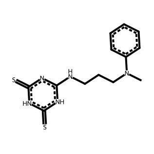 CN(CCCNc1nc(=S)[nH]c(=S)[nH]1)c1ccccc1